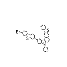 Brc1ccc2c(c1)sc1cc(-c3ccc4c(c3)c3c5cc6c(cc5ccc3n4-c3ccccc3)sc3ccccc36)ccc12